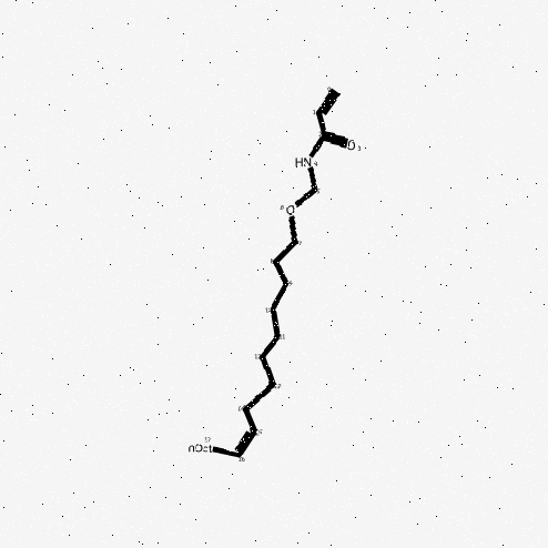 C=CC(=O)NCOCCCCCCCC/C=C\CCCCCCCC